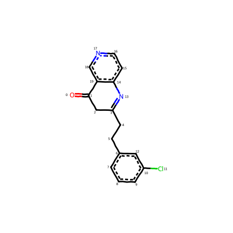 O=C1CC(CCc2cccc(Cl)c2)=Nc2ccncc21